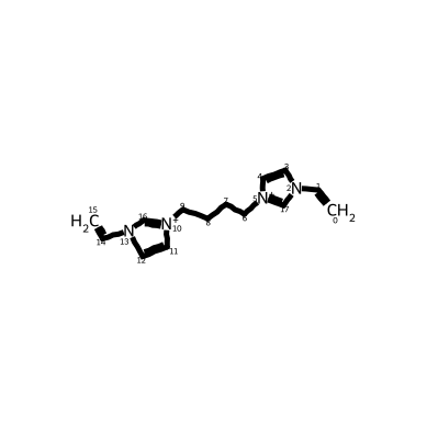 C=Cn1cc[n+](CCCC[n+]2ccn(C=C)c2)c1